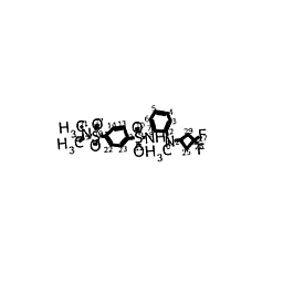 CN(c1ccccc1NS(=O)(=O)c1ccc(S(=O)(=O)N(C)C)cc1)C1CC(F)(F)C1